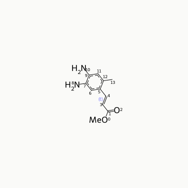 COC(=O)/C=C/c1cc(N)c(N)cc1C